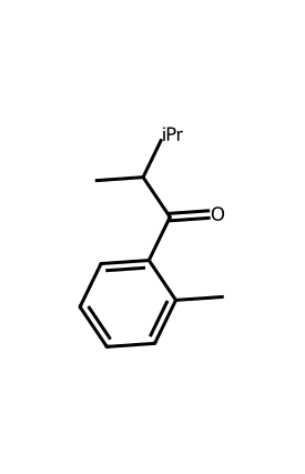 Cc1ccccc1C(=O)C(C)C(C)C